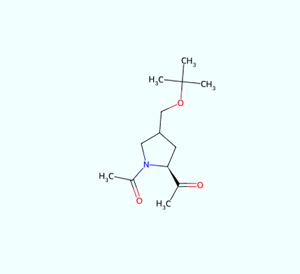 CC(=O)[C@@H]1CC(COC(C)(C)C)CN1C(C)=O